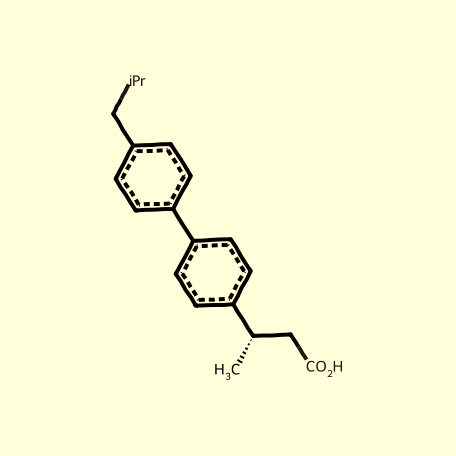 CC(C)Cc1ccc(-c2ccc([C@@H](C)CC(=O)O)cc2)cc1